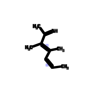 C/C=C\C(C)=C(/C)C(C)=N